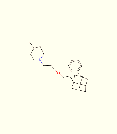 CC1CCN(CCCOCCC23CC4CC5CC(c6ccccc6)(C2)C453)CC1